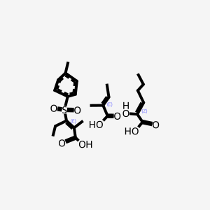 C/C=C(\C)C(=O)O.CC/C(=C(/C)C(=O)O)S(=O)(=O)c1ccc(C)cc1.CCC/C=C(\O)C(=O)O